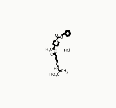 CC(OC(=O)CCCCCN[C@@H](C)C(=O)O)C1CCN(C(=O)OCc2ccccc2)CC1.Cl